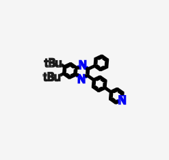 CC(C)(C)c1cc2nc(-c3ccccc3)c(-c3ccc(-c4ccncc4)cc3)nc2cc1C(C)(C)C